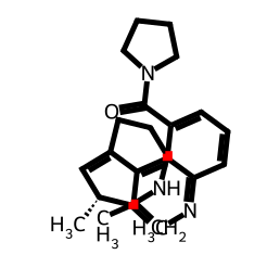 C=C(C)C(/C1=C\[C@@H](C)CNCCC1)=C1/C(C(=O)N2CCCC2)=CC=C/C1=N/C